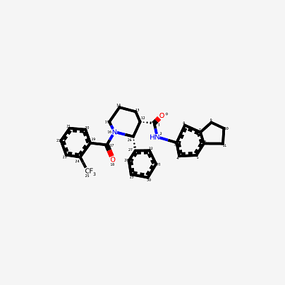 O=C(Nc1ccc2c(c1)CCC2)[C@H]1CCCN(C(=O)c2ccccc2C(F)(F)F)[C@H]1c1ccccc1